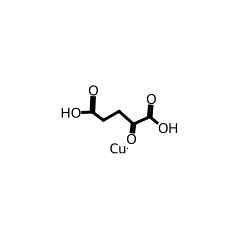 O=C(O)CCC(=O)C(=O)O.[Cu]